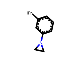 CC(C)c1cccc(N2CC2)c1